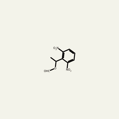 CC(OC=O)c1c([N+](=O)[O-])cccc1[N+](=O)[O-]